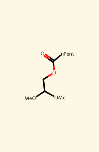 CCCCCC(=O)OCC(OC)OC